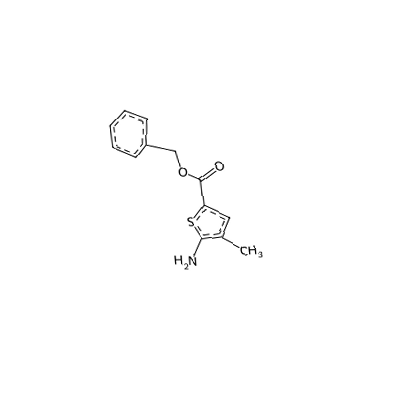 Cc1cc(C(=O)OCc2ccccc2)sc1N